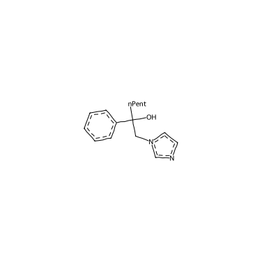 CCCCCC(O)(Cn1ccnc1)c1ccccc1